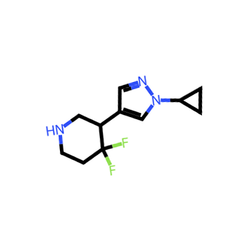 FC1(F)CCNCC1c1cnn(C2CC2)c1